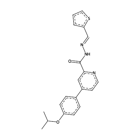 CC(C)Oc1ccc(-c2ccnc(C(=O)NN=Cc3cccs3)c2)cc1